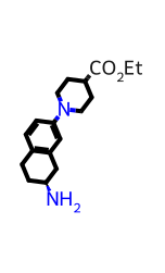 CCOC(=O)C1CCN(c2ccc3c(c2)C[C@@H](N)CC3)CC1